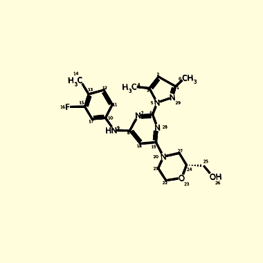 Cc1cc(C)n(-c2nc(Nc3ccc(C)c(F)c3)cc(N3CCO[C@@H](CO)C3)n2)n1